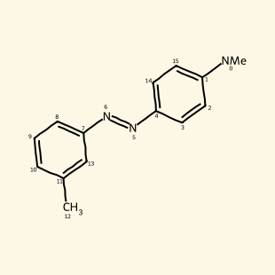 CNc1ccc(N=Nc2cccc(C)c2)cc1